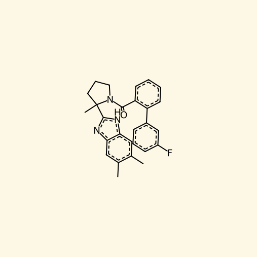 Cc1cc2nc(C3(C)CCCN3C(=O)c3ccccc3-c3cccc(F)c3)[nH]c2cc1C